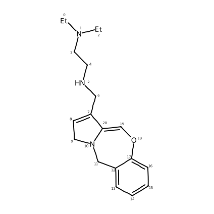 CCN(CC)CCNCC1=CCN2Cc3ccccc3OC=C12